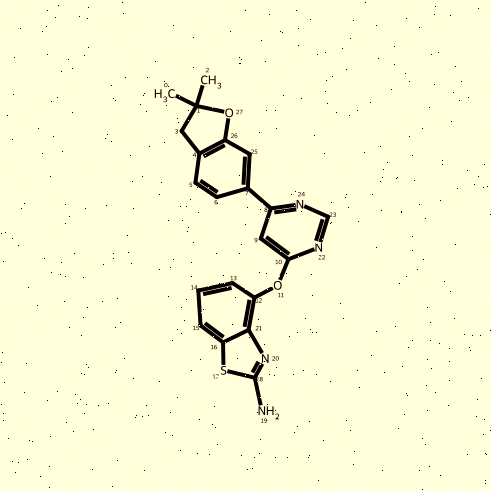 CC1(C)Cc2ccc(-c3cc(Oc4cccc5sc(N)nc45)ncn3)cc2O1